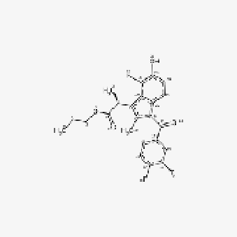 CCCOC(=O)[C@@H](C)c1c(C)n(C(=O)c2ccc(F)c(F)c2)c2ccc(O)c(F)c12